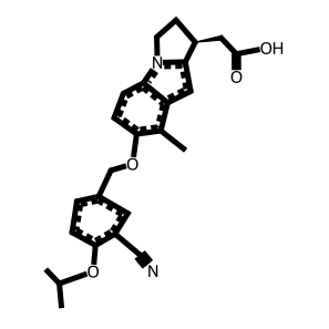 Cc1c(OCc2ccc(OC(C)C)c(C#N)c2)ccc2c1cc1n2CC[C@H]1CC(=O)O